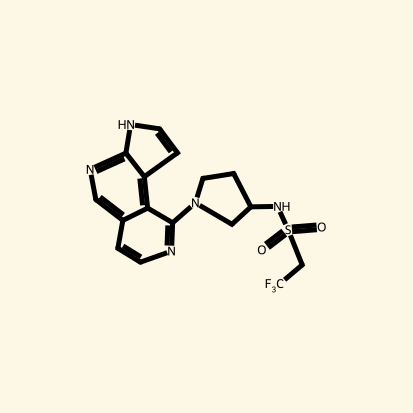 O=S(=O)(CC(F)(F)F)NC1CCN(c2nccc3cnc4[nH]ccc4c23)C1